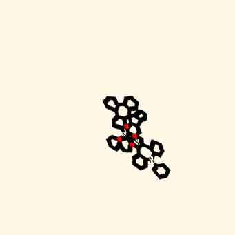 c1ccc(N(c2ccc3c(c2)-c2ccccc2N(c2ccccc2)c2ccccc2-3)c2ccc3c(c2)C2(c4ccccc4-c4ccccc4-3)c3ccccc3-c3cc4sc5ccccc5c4cc32)cc1